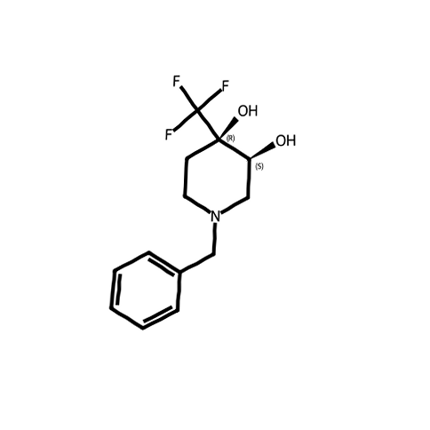 O[C@H]1CN(Cc2ccccc2)CC[C@]1(O)C(F)(F)F